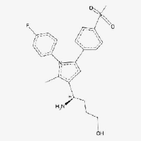 Cc1c([C@H](N)CCCO)cc(-c2ccc(S(C)(=O)=O)cc2)n1-c1ccc(F)cc1